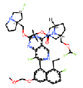 CCc1c(F)ccc2cc(OCOC)cc(-c3ncc4c(N5C[C@@H]6CC[C@](COC(F)F)(C5)N6C(=O)OC(C)(C)C)nc(OC[C@@]56CCCN5C[C@H](F)C6)nc4c3F)c12